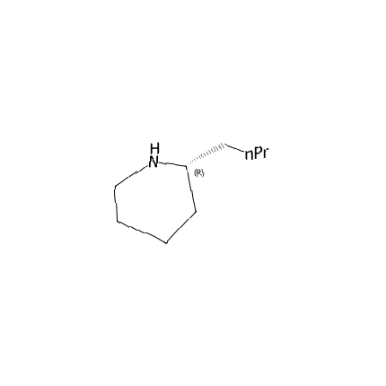 CCCC[C@@H]1CCCCN1